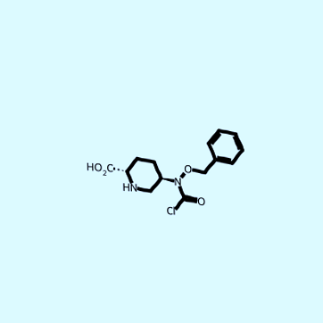 O=C(O)[C@@H]1CC[C@@H](N(OCc2ccccc2)C(=O)Cl)CN1